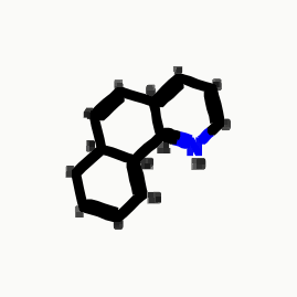 C1=CCC2C=Cc3cccnc3C2=C1